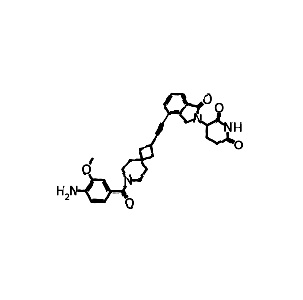 COc1cc(C(=O)N2CCC3(CC2)CC(C#Cc2cccc4c2CN(C2CCC(=O)NC2=O)C4=O)C3)ccc1N